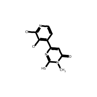 Cn1c(S)nc(-c2ccnc(Cl)c2Cl)cc1=O